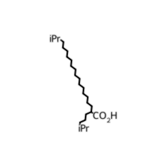 CC(C)CCCCCCCCCCCCCCCC(CCCC(C)C)C(=O)O